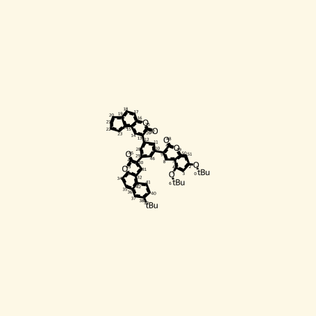 CC(C)(C)Oc1cc(OC(C)(C)C)c2cc(-c3cc(-c4cc5c(ccc6ccccc65)oc4=O)cc(-c4cc5c(ccc6cc(C(C)(C)C)ccc65)oc4=O)c3)c(=O)oc2c1